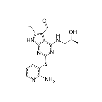 CCc1[nH]c2nc(Sc3cccnc3N)nc(NC[C@H](C)O)c2c1C=O